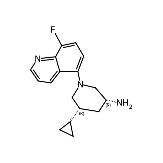 N[C@@H]1C[C@H](C2CC2)CN(c2ccc(F)c3ncccc23)C1